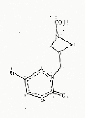 O=C(O)N1CC(Cn2cc(Br)ccc2=O)C1